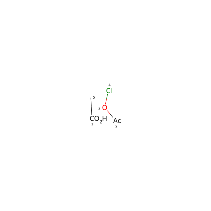 CC(=O)O.CC(=O)OCl